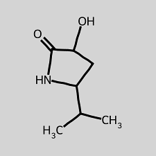 CC(C)C1CC(O)C(=O)N1